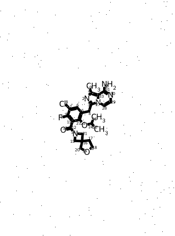 Cc1nc(Cc2cc(Cl)c(F)c(C(=O)N3CC4(CCOC4)C3)c2OC(C)C)n2ccnc(N)c12